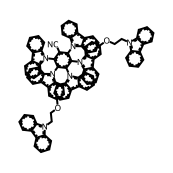 N#Cc1c(-n2c3ccccc3c3ccccc32)c(-n2c3ccccc3c3cc(OCCn4c5ccccc5c5ccccc54)ccc32)c(-n2c3ccccc3c3ccccc32)c(-n2c3ccccc3c3cc(OCCn4c5ccccc5c5ccccc54)ccc32)c1-n1c2ccccc2c2ccccc21